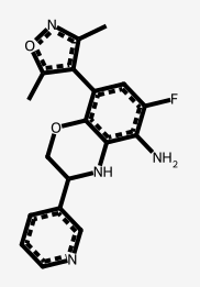 Cc1noc(C)c1-c1cc(F)c(N)c2c1OCC(c1cccnc1)N2